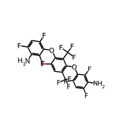 Nc1c(F)cc(F)c(Oc2c(F)cc(C(F)(F)F)c(Oc3c(F)cc(F)c(N)c3F)c2C(F)(F)F)c1F